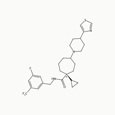 O=C(NCc1cc(F)cc(C(F)(F)F)c1)[C@]1(C2CC2)CCCC(N2CCC(c3cscn3)CC2)CC1